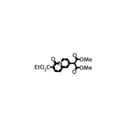 CCOC(=O)c1ccc2cc(C(C(=O)OC)C(=O)OC)ccn2c1=O